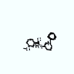 COC1CCCC(C(=O)NC2CCCN(c3ccccc3)C2)C1